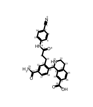 N#Cc1ccc(NC(=O)CCc2cc(C(N)=O)ccc2C2NCCc3ccc(C(=O)O)cc32)cc1